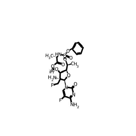 CC(C)OC(=O)[C@H](C)NP(=O)(Oc1ccccc1)O[C@@H](C)[C@H]1O[C@@H](n2cc(F)c(N)nc2=O)[C@@](N)(CF)C1O